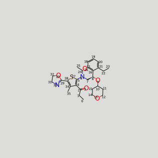 CCC(=O)c1c(N(C[C@H](OC2CCOCC2)c2ccccc2CC)C(C)=O)sc(C2=NCCO2)c1C